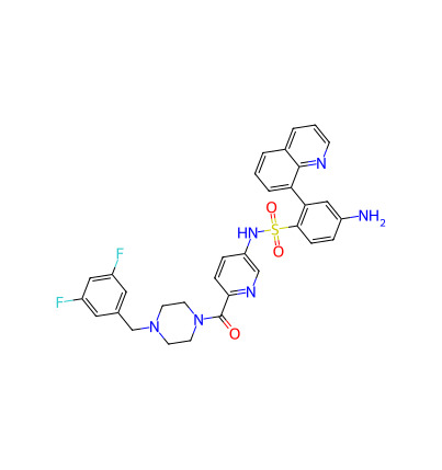 Nc1ccc(S(=O)(=O)Nc2ccc(C(=O)N3CCN(Cc4cc(F)cc(F)c4)CC3)nc2)c(-c2cccc3cccnc23)c1